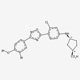 CC(C)Oc1ccc(-c2noc(-c3ccc(N[C@H]4CC[C@@H](C(=O)O)C4)cc3Cl)n2)cc1Br